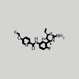 CC[C@H]1SC(N)=N[C@](C)(c2cc(NC(=O)c3ccc(OCF)cn3)ccc2F)[C@H]1F